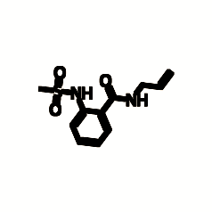 C=CCNC(=O)c1ccccc1NS(C)(=O)=O